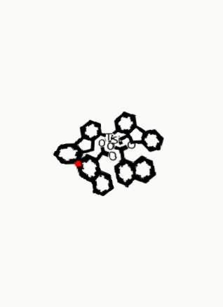 C[Si](C)=[Ti]([O]C(=O)c1cccc2ccccc12)([O]C(=O)c1cccc2ccccc12)([c]1cccc2c1Cc1ccccc1-2)[c]1cccc2c1Cc1ccccc1-2